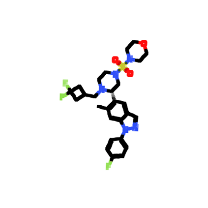 Cc1cc2c(cnn2-c2ccc(F)cc2)cc1[C@H]1CN(S(=O)(=O)N2CCOCC2)CCN1CC1CC(F)(F)C1